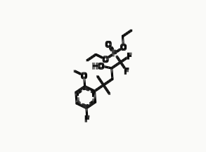 CCOP(=O)(OCC)C(F)(F)C(O)CC(C)(C)c1cc(F)ccc1OC